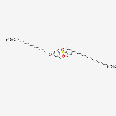 CCCCCCCCCCCCCCCCCCCCCCCOc1cc(C)c(S(=O)(=O)c2c(C)cc(CCCCCCCCCCCCCCCCCCCCCCC)cc2C)c(C)c1